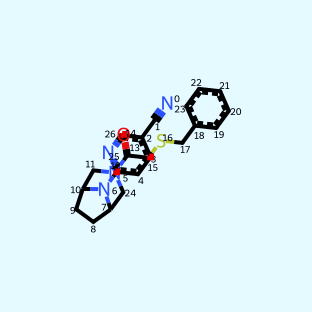 N#Cc1ccc(N2C3CCC2CN(C(=O)CSCc2ccccc2)C3)nc1